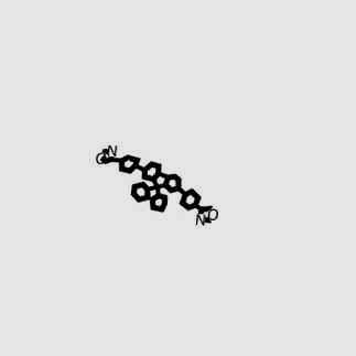 c1ccc(C2(c3ccccc3)c3cc(-c4ccc(-c5cocn5)cc4)ccc3-c3ccc(-c4ccc(-c5cocn5)cc4)cc32)cc1